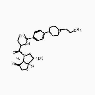 COCCN1CCC(c2ccc(C(=O)NC(CC(C)C)C(=O)N3C[C@H](O)[C@H]4OCC(=O)[C@H]43)cc2)CC1